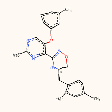 CSc1ncc(Oc2cccc(C(F)(F)F)c2)c(C2=NOC[C@@H](Cc3ccc(C)cc3C)N2)n1